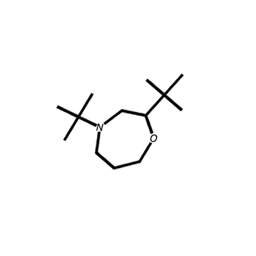 CC(C)(C)C1CN(C(C)(C)C)CCCO1